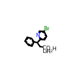 O=C(O)CC(c1ccccc1)c1ccc(Br)cn1.[LiH]